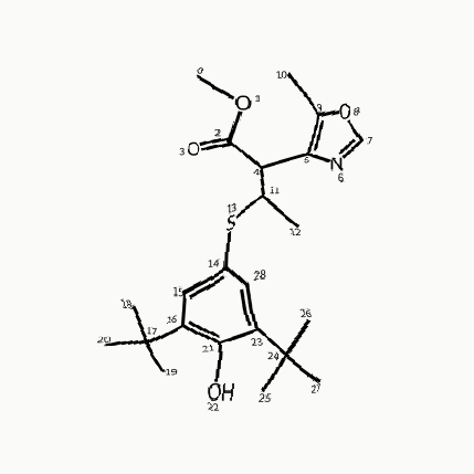 COC(=O)C(c1ncoc1C)C(C)Sc1cc(C(C)(C)C)c(O)c(C(C)(C)C)c1